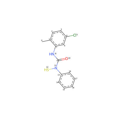 Cc1ccc(Cl)cc1NC(=O)N(S)c1ccccc1